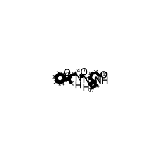 Cc1c([C@H](C)NC(=O)NC2CCC(=O)NC23CCC3)oc2ccccc12